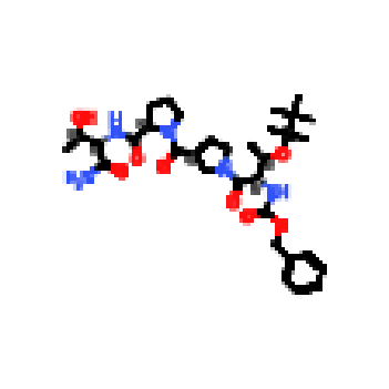 C[C@@H](O)[C@H](NC(=O)[C@H]1CCCN1C(=O)[C@H]1CCN(C(=O)[C@@H](NC(=O)OCc2ccccc2)[C@@H](C)O[Si](C)(C)C(C)(C)C)C1)C(N)=O